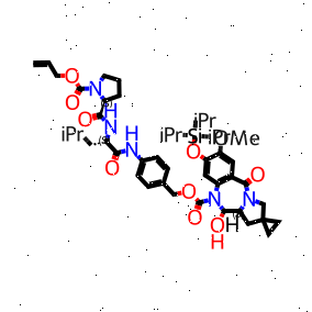 C=CCOC(=O)N1CCC[C@H]1C(=O)N[C@@H](CC(C)C)C(=O)Nc1ccc(COC(=O)N2c3cc(O[Si](C(C)C)(C(C)C)C(C)C)c(OC)cc3C(=O)N3CC4(CC4)C[C@H]3C2O)cc1